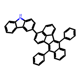 c1ccc(-c2c3c(c(-c4ccccc4)c4ccccc24)-c2ccc(-c4ccc5[nH]c6ccccc6c5c4)c4cccc-3c24)cc1